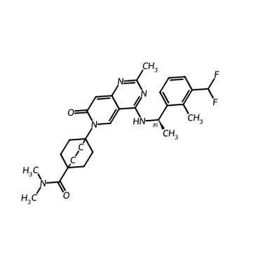 Cc1nc(N[C@H](C)c2cccc(C(F)F)c2C)c2cn(C34CCC(C(=O)N(C)C)(CC3)CC4)c(=O)cc2n1